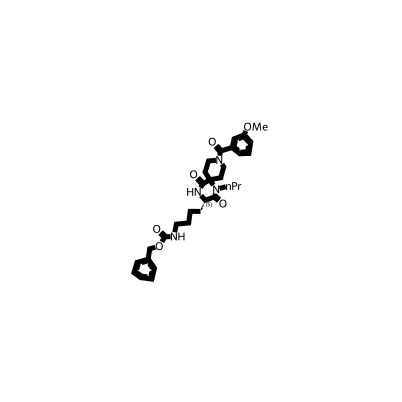 CCCN1C(=O)[C@H](CCCCNC(=O)OCc2ccccc2)NC(=O)C12CCN(C(=O)c1cccc(OC)c1)CC2